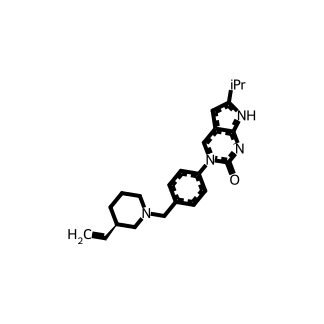 C=C[C@H]1CCCN(Cc2ccc(-n3cc4cc(C(C)C)[nH]c4nc3=O)cc2)C1